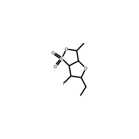 CCC1OC2C(C)OS(=O)(=O)C2C1I